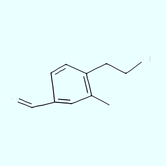 O=Cc1ccc(CCO)c(F)c1